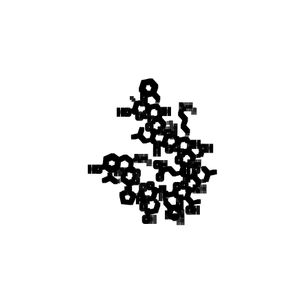 CC(C)C[C@H](NC(=O)[C@H](C)NC(=O)[C@H](CCCCN)NC(=O)[C@H](CO)NC(=O)[C@H](CCC(=O)O)NC(=O)[C@H](CC(C)C)NC(=O)[C@@H](NC(=O)[C@H](Cc1c[nH]cn1)NC(=O)[C@H](CCC(=O)O)NC(=O)[C@@H]1CCCN1C(=O)[C@H](CC(C)C)NC(=O)[C@@H](N)Cc1ccc(O)cc1)[C@@H](C)O)C(=O)N[C@@H](C)C(=O)N[C@@H](Cc1ccccc1)C(=O)N[C@@H](C)C(=O)O